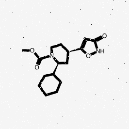 COC(=O)N1CC[C@@H](c2cc(=O)[nH]o2)C[C@H]1C1CCCCC1